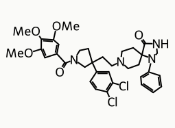 COc1cc(C(=O)N2CCC(CCN3CCC4(CC3)C(=O)NCN4c3ccccc3)(c3ccc(Cl)c(Cl)c3)C2)cc(OC)c1OC